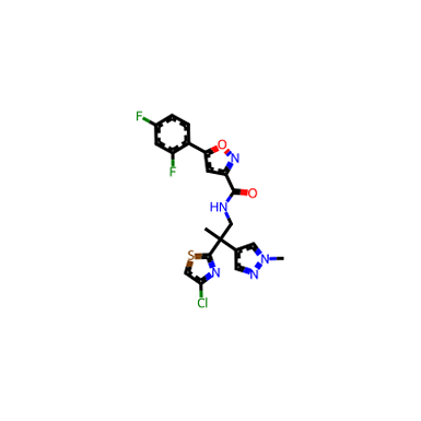 Cn1cc(C(C)(CNC(=O)c2cc(-c3ccc(F)cc3F)on2)c2nc(Cl)cs2)cn1